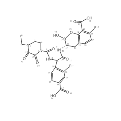 CCN1CCN(C(=O)NC(C(=O)N[C@H]2Cc3ccc(F)c(C(=O)O)c3OB2O)c2ccc(C(=O)O)cc2F)C(=O)C1=O